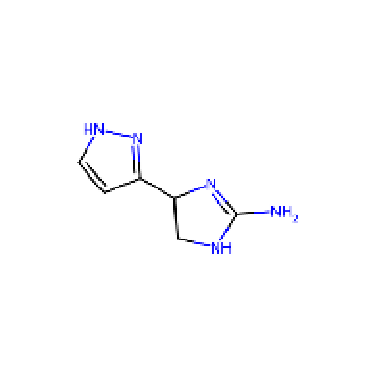 NC1=NC(c2cc[nH]n2)CN1